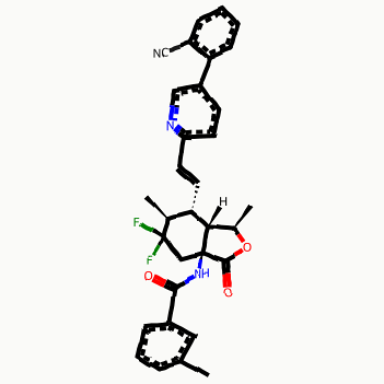 Cc1cccc(C(=O)N[C@@]23CC(F)(F)[C@@H](C)[C@H](/C=C/c4ccc(-c5ccccc5C#N)cn4)[C@@H]2[C@@H](C)OC3=O)c1